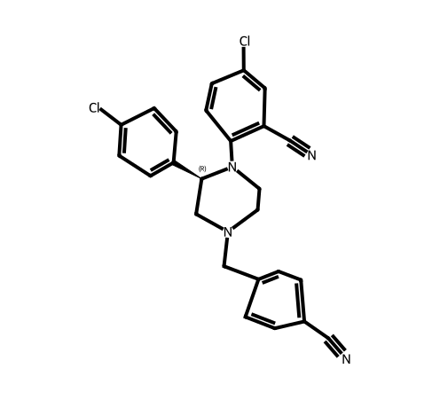 N#Cc1ccc(CN2CCN(c3ccc(Cl)cc3C#N)[C@H](c3ccc(Cl)cc3)C2)cc1